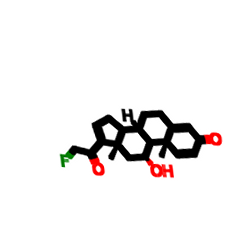 C[C@]12C=CC(=O)C=C1CC[C@@H]1C2[C@@H](O)C[C@]2(C)C(C(=O)CF)=CCC12